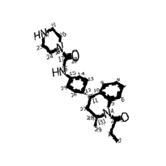 CCC(=O)N1c2ccccc2[C@@H](c2ccc(NC(=O)N3CCNCC3)cc2)C[C@@H]1C